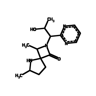 CC1CCC2(N1)C(=O)N(C(c1ncccn1)C(C)O)C2C